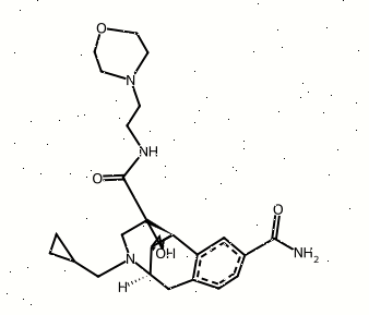 NC(=O)c1ccc2c(c1)[C@]13CCN(CC4CC4)[C@H](C2)[C@]1(O)CC(C(=O)NCCN1CCOCC1)C3